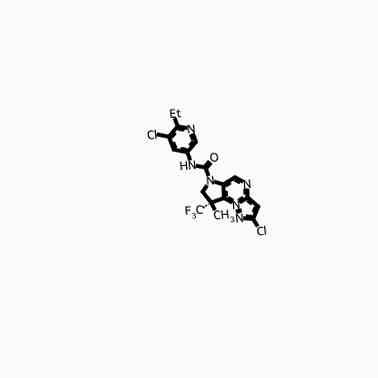 CCc1ncc(NC(=O)N2C[C@@](C)(C(F)(F)F)c3c2cnc2cc(Cl)nn32)cc1Cl